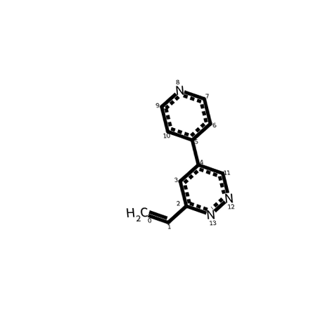 C=Cc1cc(-c2ccncc2)cnn1